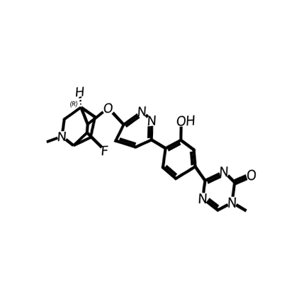 CN1C[C@H]2CCC1C(F)C2Oc1ccc(-c2ccc(-c3ncn(C)c(=O)n3)cc2O)nn1